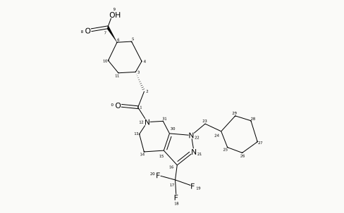 O=C(C[C@H]1CC[C@H](C(=O)O)CC1)N1CCc2c(C(F)(F)F)nn(CC3CCCCC3)c2C1